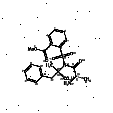 COC(=O)c1ccccc1S(=O)(=O)N(C(=O)[C@H](C)N)[C@@](C)(Cc1ccccc1)C(=O)O